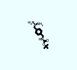 CC(C)(C)OC(=O)NCc1ccc(CN(N)N)cc1